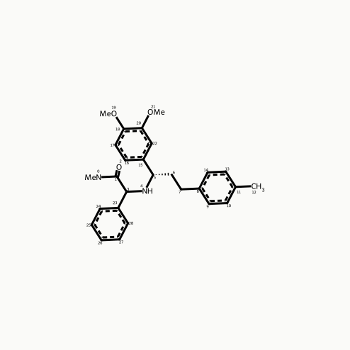 CNC(=O)C(N[C@@H](CCc1ccc(C)cc1)c1ccc(OC)c(OC)c1)c1ccccc1